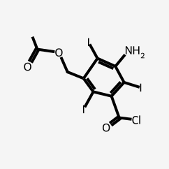 CC(=O)OCc1c(I)c(N)c(I)c(C(=O)Cl)c1I